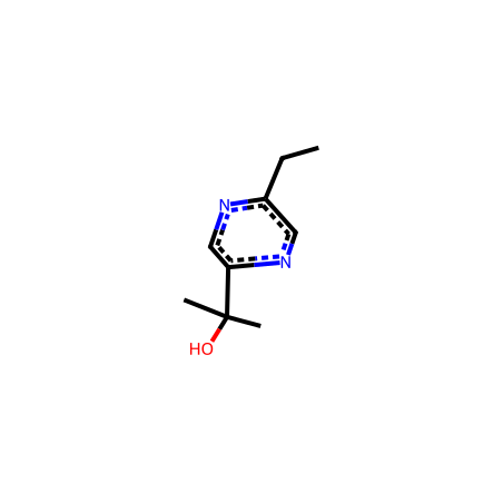 CCc1cnc(C(C)(C)O)cn1